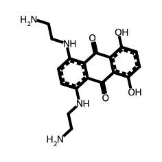 NCCNc1ccc(NCCN)c2c1C(=O)c1c(O)ccc(O)c1C2=O